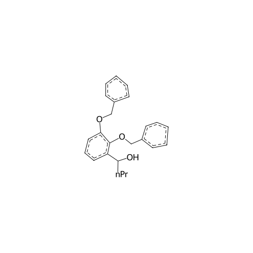 CCCC(O)c1cccc(OCc2ccccc2)c1OCc1ccccc1